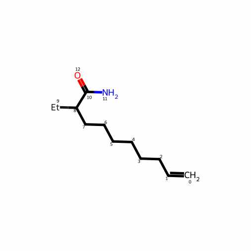 C=CCCCCCCC(CC)C(N)=O